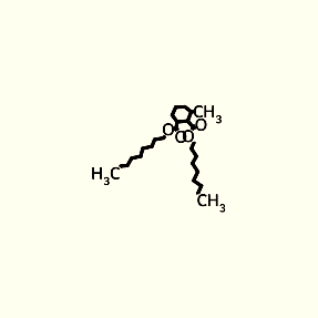 CCCCCCCCCOC(=O)C1CCCC(C)C1C(=O)OCCCCCCCCC